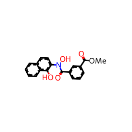 COC(=O)c1cccc(C(=O)N(O)c2ccc3ccccc3c2O)c1